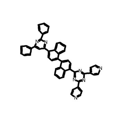 c1ccc(-c2cc(-c3ccc(-c4ccc(-c5nc(-c6ccncc6)nc(-c6ccncc6)n5)c5ccccc45)c4ccccc34)nc(-c3ccccc3)n2)cc1